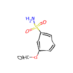 NS(=O)(=O)c1cccc(OC=O)c1